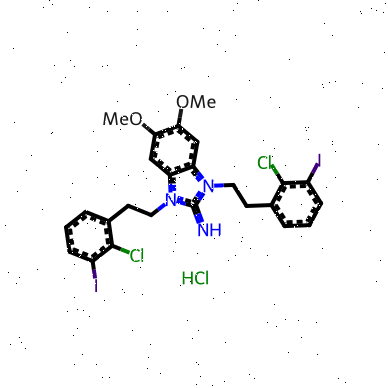 COc1cc2c(cc1OC)n(CCc1cccc(I)c1Cl)c(=N)n2CCc1cccc(I)c1Cl.Cl